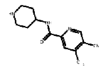 Cc1cc(C(=O)NC2CCNCC2)ncc1C#N